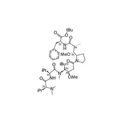 CC[C@H](C)[C@@H]([C@@H](CC(=O)N1CCCC1[C@H](OC)[C@@H](C)C(=O)N[C@@H](Cc1ccccc1)C(=O)OC(C)(C)C)OC)N(C)C(=O)[C@@H](NC(=O)[C@H](C(C)C)N(C)C)C(C)C